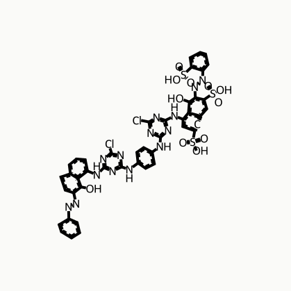 O=S(=O)(O)c1cc(Nc2nc(Cl)nc(Nc3ccc(Nc4nc(Cl)nc(Nc5cccc6ccc(N=Nc7ccccc7)c(O)c56)n4)cc3)n2)c2c(O)c(N=Nc3ccccc3S(=O)(=O)O)c(S(=O)(=O)O)cc2c1